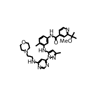 COC(C)(C)c1cc(C(=O)Nc2ccc(C)c(Nc3cc(C)nn3-c3cc(NCCN4CCOCC4)ncn3)c2)ccn1